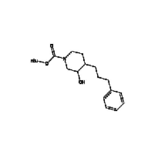 CCCCOC(=O)N1CCC(CCCc2ccccc2)C(O)C1